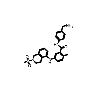 Cc1ccc(Nc2cccc3c2CCN(S(C)(=O)=O)C3)cc1C(=O)Nc1ccc(CN)cc1